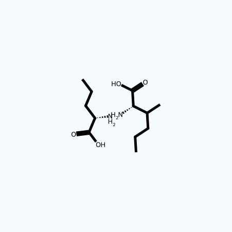 CCCC(C)[C@H](N)C(=O)O.CCC[C@H](N)C(=O)O